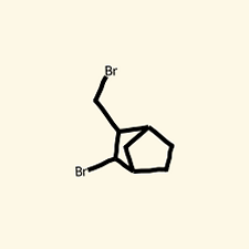 BrCC1C2CCC(C2)C1Br